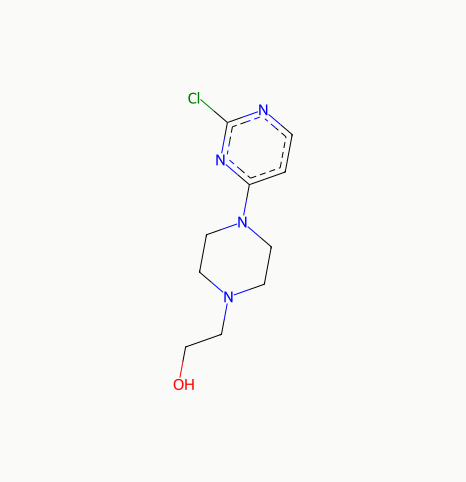 OCCN1CCN(c2ccnc(Cl)n2)CC1